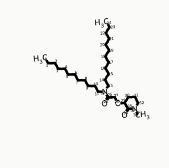 CCCCCCCCCCCCN(CCCCCCCCCCCC)C(=O)COC1CCCN(C)C1=O